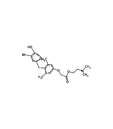 Cc1cc(OCC(=O)OCCN(C)C)cc(C)c1Cc1ccc(O)c(C(C)C)c1